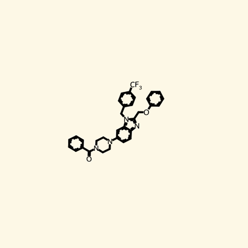 O=C(c1ccccc1)N1CCN(c2ccc3nc(COc4ccccc4)n(Cc4ccc(C(F)(F)F)cc4)c3c2)CC1